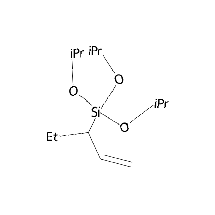 C=CC(CC)[Si](OC(C)C)(OC(C)C)OC(C)C